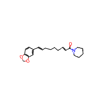 O=C(C=CCCCCC=Cc1ccc2c(c1)OCO2)N1CCCCC1